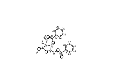 C=C[C@@]1(C)C(OC)O[C@H](COC(=O)c2ccccc2)[C@H]1OC(=O)c1ccccc1